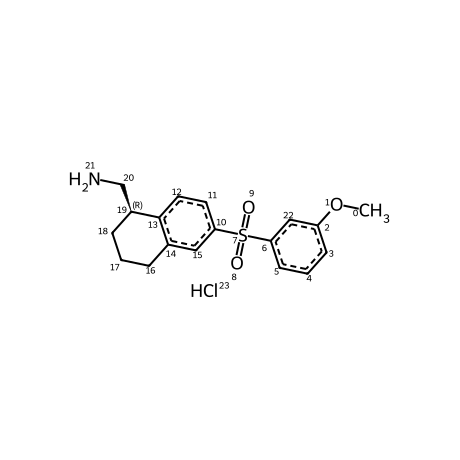 COc1cccc(S(=O)(=O)c2ccc3c(c2)CCC[C@H]3CN)c1.Cl